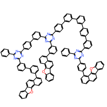 c1ccc(-c2nc(-c3ccc(-c4cccc5ccc6c7ccccc7oc6c45)cc3)nc(-c3cccc(-c4ccc(-c5cccc(-c6cccc(-c7ccc(-c8nc(-c9cccc(-c%10ccc(-c%11nc(-c%12ccccc%12)nc(-c%12cccc(-c%13cccc(-c%14cccc%15c%14ccc%14c%16ccccc%16oc%15%14)c%13)c%12)n%11)cc%10)c9)nc(-c9cccc(-c%10cccc%11c%10ccc%10c%12ccccc%12oc%11%10)c9)n8)cc7)c6)c5)cc4)c3)n2)cc1